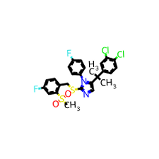 CC(C)(c1ccc(Cl)c(Cl)c1)c1cnc(SCc2ccc(F)cc2S(C)(=O)=O)n1-c1ccc(F)cc1